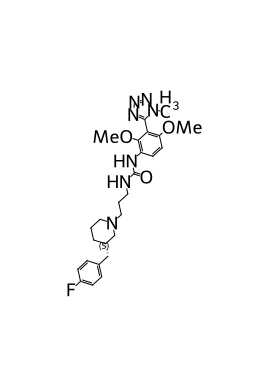 COc1ccc(NC(=O)NCCCN2CCC[C@@H](Cc3ccc(F)cc3)C2)c(OC)c1-c1nnnn1C